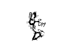 COc1c(F)cccc1CNc1ccc2nccn2c1C(=O)O